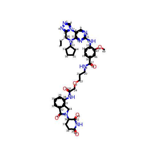 CC[C@@H]1c2nncn2-c2cnc(Nc3ccc(C(=O)NCCCOCC(=O)Nc4cccc5c4CN(C4CCC(=O)NC4=O)C5=O)cc3OC)nc2N1C1CCCC1